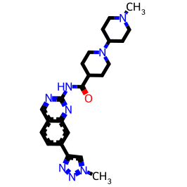 CN1CCC(N2CCC(C(=O)Nc3ncc4ccc(-c5cn(C)nn5)cc4n3)CC2)CC1